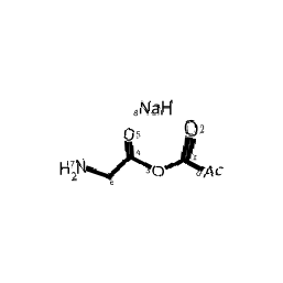 CC(=O)C(=O)OC(=O)CN.[NaH]